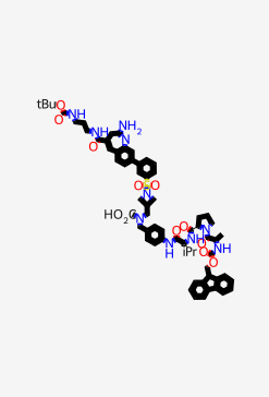 CC(NC(=O)OCC1c2ccccc2-c2ccccc21)C(=O)N1CCC[C@H]1C(=O)NC(C(=O)Nc1ccc(CN(CC2CN(S(=O)(=O)c3cccc(-c4ccc5c(c4)N=C(N)CC(C(=O)NCCCNC(=O)OC(C)(C)C)=C5)c3)C2)C(=O)O)cc1)C(C)C